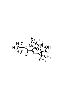 CCC1(C(=O)O)C(C=C(C(=O)OC(C)(C)C)S(=O)(=O)C(C)(C)C)C1(C)C